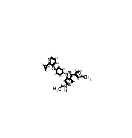 CCNc1cc2c(cn1)c(-c1cnn(C)c1)nn2[C@H]1CC[C@@H](Oc2cccnc2C2CC2)CC1